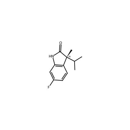 CC(C)[C@@]1(C)C(=O)Nc2cc(F)ccc21